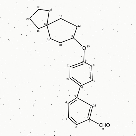 O=Cc1cccc(-c2ccc(OC3CCC4(CCCC4)CC3)cc2)c1